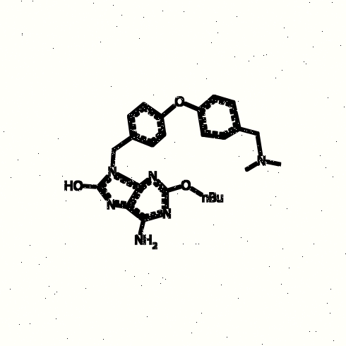 CCCCOc1nc(N)c2nc(O)n(Cc3ccc(Oc4ccc(CN(C)C)cc4)cc3)c2n1